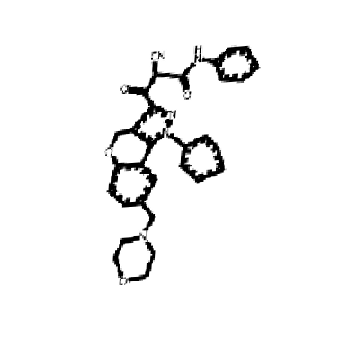 N#CC(C(=O)Nc1ccccc1)C(=O)c1nn(-c2ccccc2)c2c1COc1ccc(CN3CCOCC3)cc1-2